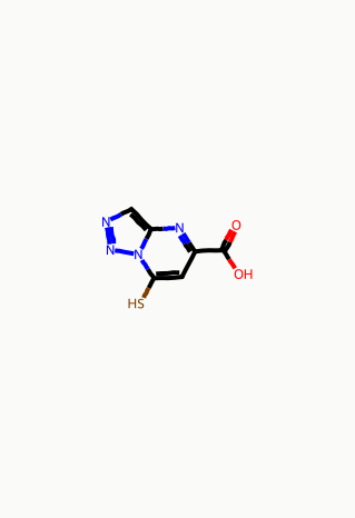 O=C(O)c1cc(S)n2nncc2n1